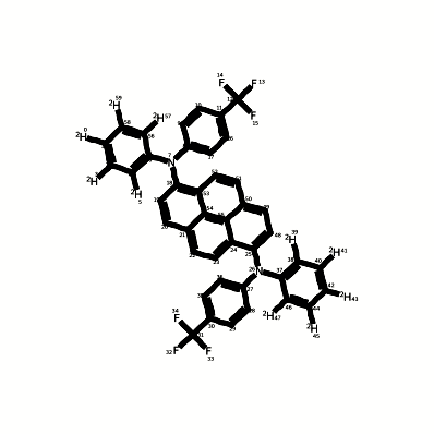 [2H]c1c([2H])c([2H])c(N(c2ccc(C(F)(F)F)cc2)c2ccc3ccc4c(N(c5ccc(C(F)(F)F)cc5)c5c([2H])c([2H])c([2H])c([2H])c5[2H])ccc5ccc2c3c54)c([2H])c1[2H]